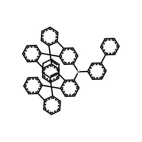 C1=CC2=C(CC1)C1(c3ccccc3-c3ccccc31)c1cccc(N(c3cccc(-c4ccccc4)c3)c3ccc4c(c3)C3(c5ccccc5-c5ccccc53)c3ccccc3-4)c12